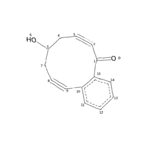 O=C1C#CCC(O)CC#Cc2ccccc21